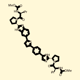 COC(=O)N[C@H](C(=O)N1CCC[C@H]1c1ncc(-c2ccc(-c3ccc(-c4ccc5nc([C@@H]6CCCN6C(=O)[C@@H](NC(=O)OC)C(C)C)[nH]c5c4)s3)cc2)[nH]1)C(C)C